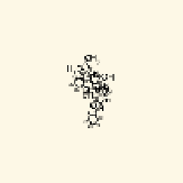 CCCCc1nc(O)c(-c2nnc(Cc3nc(-c4ccccc4)oc3C)o2)c(O)c1-c1c(OC)cccc1OC